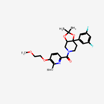 BC1(B)OC2CN(C(=O)c3ccc(OCCOC(F)(F)F)c(OC)n3)CCC2(c2cc(F)cc(F)c2)O1